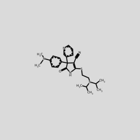 CC(C)N(CCSC1=C(C#N)C(c2ccc(N(C)C)cc2)(c2cccnc2)C(=O)N1)C(C)C